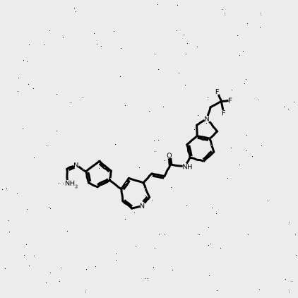 N/C=N\c1ccc(C2=CC(/C=C/C(=O)Nc3ccc4c(c3)CN(CC(F)(F)F)C4)C=NC=C2)cc1